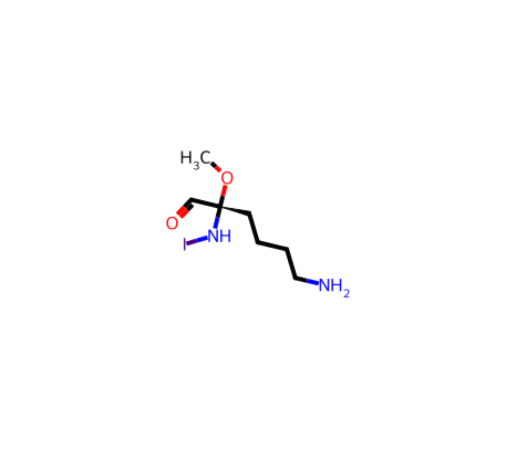 CO[C@](C=O)(CCCCN)NI